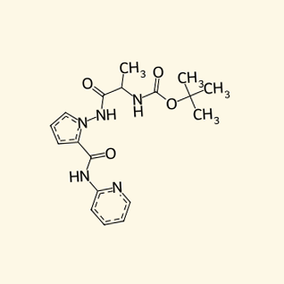 CC(NC(=O)OC(C)(C)C)C(=O)Nn1cccc1C(=O)Nc1ccccn1